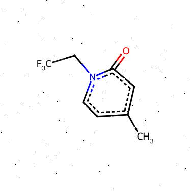 Cc1ccn(CC(F)(F)F)c(=O)c1